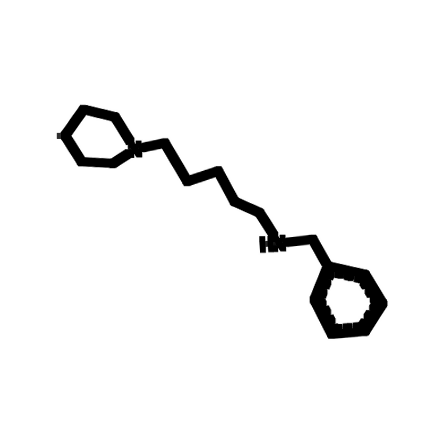 [CH]1CCN(CCCCCNCc2ccccc2)CC1